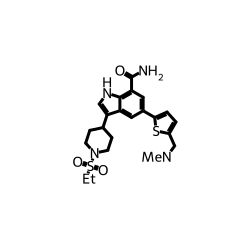 CCS(=O)(=O)N1CCC(c2c[nH]c3c(C(N)=O)cc(-c4ccc(CNC)s4)cc23)CC1